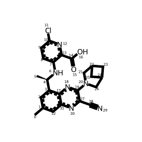 Cc1cc([C@@H](C)Nc2ccc(Cl)nc2C(=O)O)c2nc(N3CC4CC(C4)C3)c(C#N)nc2c1